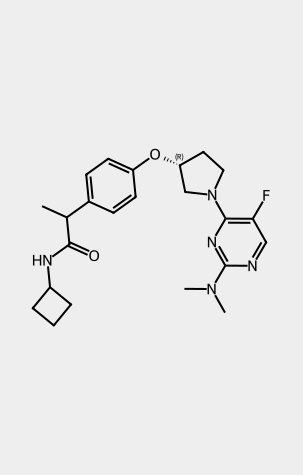 CC(C(=O)NC1CCC1)c1ccc(O[C@@H]2CCN(c3nc(N(C)C)ncc3F)C2)cc1